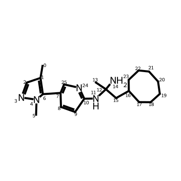 Cc1cnn(C)c1-c1ccc(NC(C)(N)CC2CCCCCCC2)nc1